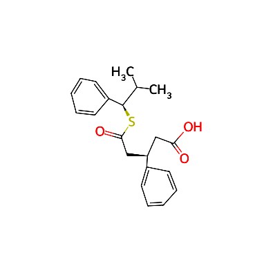 CC(C)[C@@H](SC(=O)C[C@@H](CC(=O)O)c1ccccc1)c1ccccc1